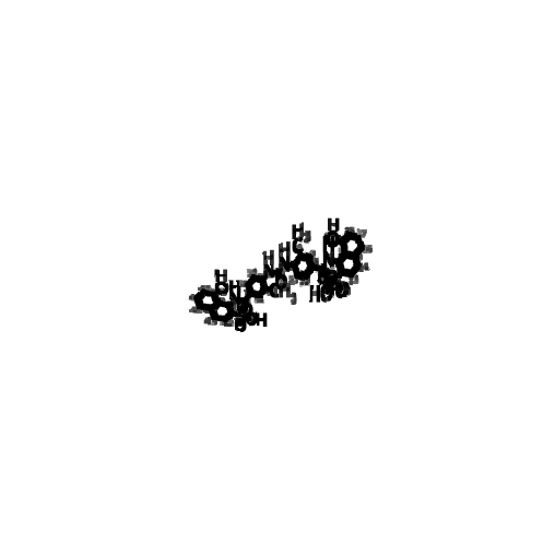 Cc1cc(C(=O)Nc2c(S(=O)(=O)O)ccc3cccc(O)c23)ccc1NC(=O)Nc1ccc(C(=O)Nc2c(S(=O)(=O)O)ccc3cccc(O)c23)cc1C